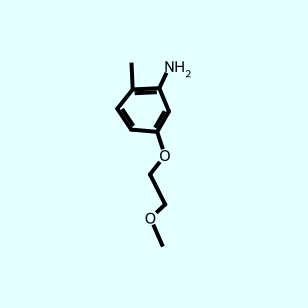 COCCOc1ccc(C)c(N)c1